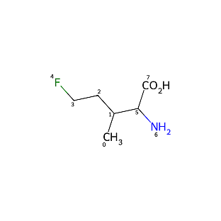 CC(CCF)C(N)C(=O)O